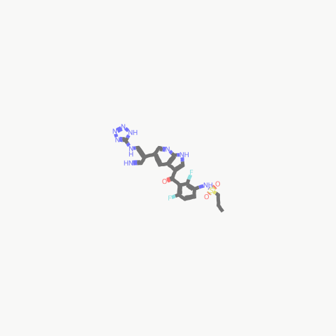 CCCS(=O)(=O)Nc1ccc(F)c(C(=O)c2c[nH]c3ncc(/C(C=N)=C/Nc4nnn[nH]4)cc23)c1F